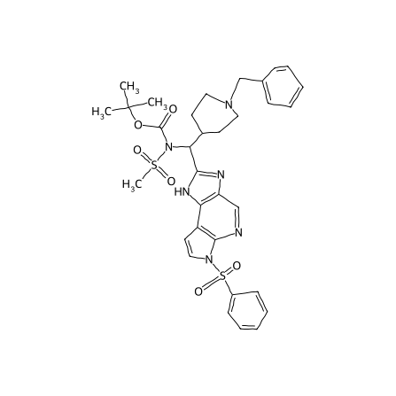 CC(C)(C)OC(=O)N(C(c1nc2cnc3c(ccn3S(=O)(=O)c3ccccc3)c2[nH]1)C1CCN(Cc2ccccc2)CC1)S(C)(=O)=O